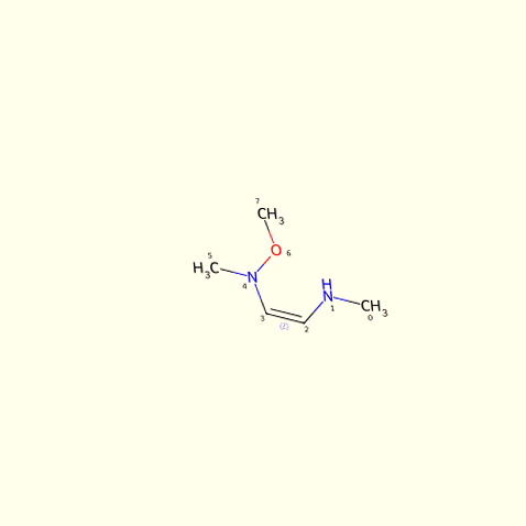 CN/C=C\N(C)OC